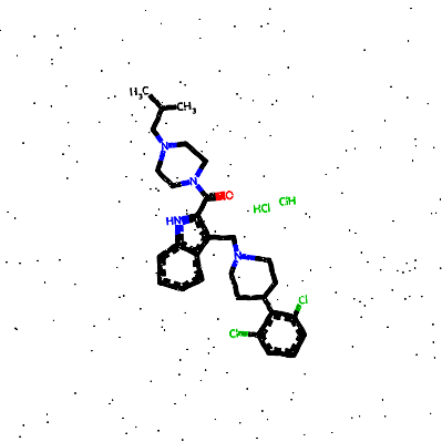 CC(C)CN1CCN(C(=O)c2[nH]c3ccccc3c2CN2CCC(c3c(Cl)cccc3Cl)CC2)CC1.Cl.Cl